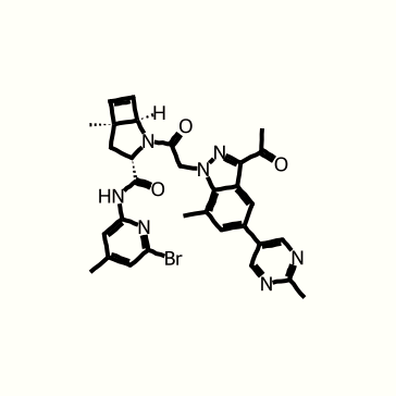 CC(=O)c1nn(CC(=O)N2[C@H](C(=O)Nc3cc(C)cc(Br)n3)C[C@@]3(C)C=C[C@@H]23)c2c(C)cc(-c3cnc(C)nc3)cc12